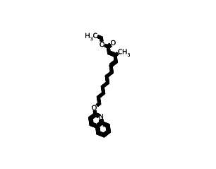 CCOC(=O)C=C(C)C=CCCCCCCCOc1ccc2ccccc2n1